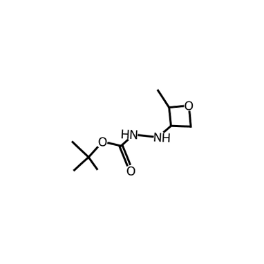 CC1OCC1NNC(=O)OC(C)(C)C